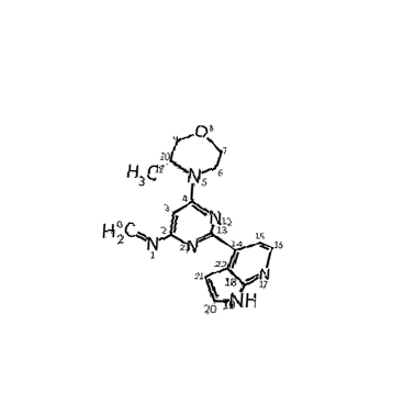 C=Nc1cc(N2CCOC[C@H]2C)nc(-c2ccnc3[nH]ccc23)n1